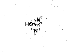 CN(C)CC1CN(C)CC1O